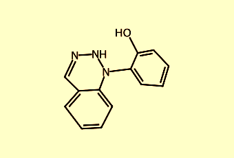 Oc1ccccc1N1NN=Cc2ccccc21